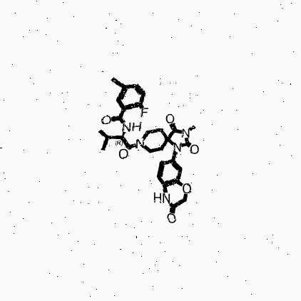 Cc1ccc(F)c(C(=O)N[C@@H](C(=O)N2CCC3(CC2)C(=O)N(C)C(=O)N3c2ccc3c(c2)OCC(=O)N3)C(C)C)c1